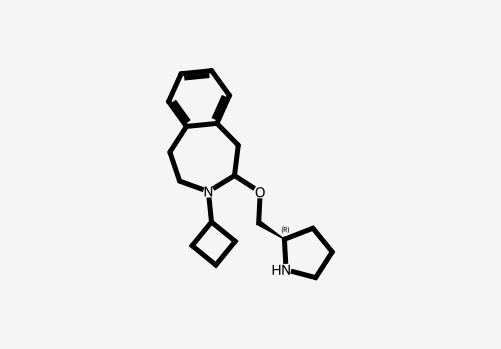 c1ccc2c(c1)CCN(C1CCC1)C(OC[C@H]1CCCN1)C2